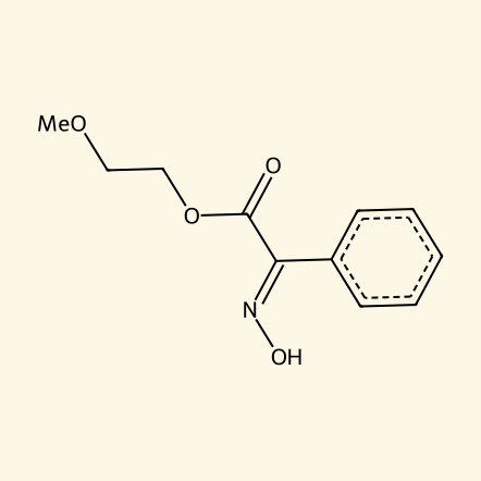 COCCOC(=O)/C(=N/O)c1ccccc1